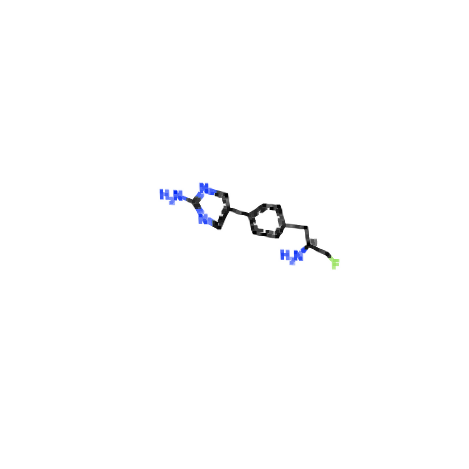 Nc1ncc(-c2ccc(C[C@H](N)CF)cc2)cn1